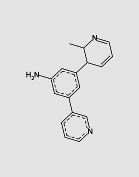 CC1N=CC=CC1c1cc(N)cc(-c2cccnc2)c1